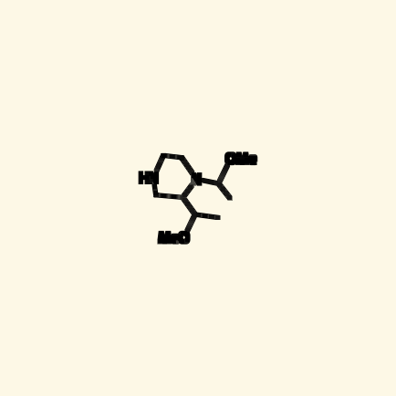 COC(C)C1CNCCN1C(C)OC